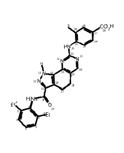 CCc1cccc(CC)c1NC(=O)c1nn(C)c2c1CCc1cnc(Nc3ccc(C(=O)O)cc3C)nc1-2